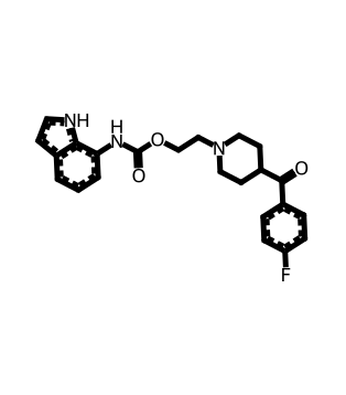 O=C(Nc1cccc2cc[nH]c12)OCCN1CCC(C(=O)c2ccc(F)cc2)CC1